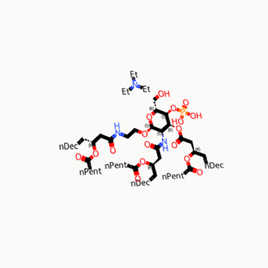 CCCCCCCCCCC[C@H](CC(=O)NCCO[C@H]1O[C@H](CO)[C@@H](OP(=O)(O)O)[C@H](OC(=O)C[C@@H](CCCCCCCCCCC)OC(=O)CCCCC)[C@@H]1NC(=O)C[C@@H](CCCCCCCCCCC)OC(=O)CCCCC)OC(=O)CCCCC.CCN(CC)CC